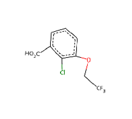 O=C(O)c1cccc(OCC(F)(F)F)c1Cl